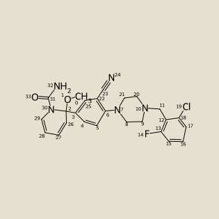 COC1(c2ccc(N3CCN(Cc4c(F)cccc4Cl)CC3)c(C#N)c2)C=CC=CN1C(N)=O